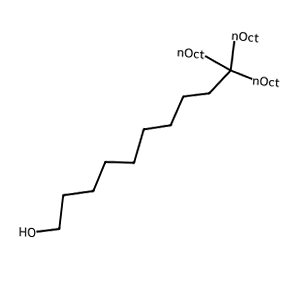 CCCCCCCCC(CCCCCCCC)(CCCCCCCC)CCCCCCCCCO